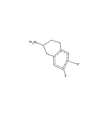 NC1CCc2cc(F)c(F)cc2C1